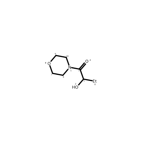 CCC(O)C(=O)N1CCOCC1